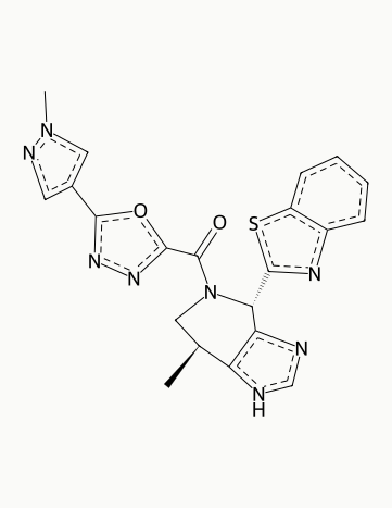 C[C@H]1CN(C(=O)c2nnc(-c3cnn(C)c3)o2)[C@H](c2nc3ccccc3s2)c2nc[nH]c21